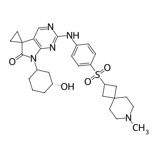 CN1CCC2(CC1)CC(S(=O)(=O)c1ccc(Nc3ncc4c(n3)N(C3CCC[C@@H](O)C3)C(=O)C43CC3)cc1)C2